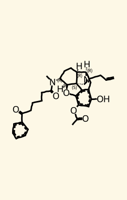 C=CCN1CC[C@]23c4c5c(O)cc(OC(C)=O)c4O[C@H]2[C@H](N(C)C(=O)CCCCC(=O)c2ccccc2)CC[C@H]3[C@H]1C5